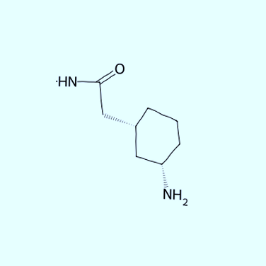 [NH]C(=O)C[C@@H]1CCC[C@H](N)C1